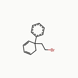 BrCCC1(c2ccccc2)C=CC=CC1